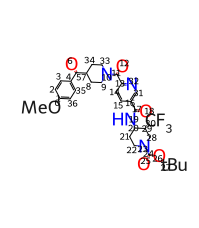 COc1ccc(C(=O)C2CCN(C(=O)c3ccc(C(=O)NC4CCN(C(=O)OC(C)(C)C)CC4C(F)(F)F)cn3)CC2)cc1